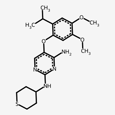 COc1cc(Oc2cnc(NC3CCSCC3)nc2N)c(C(C)C)cc1OC